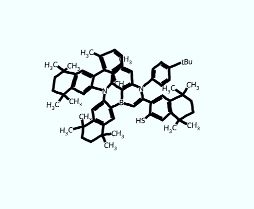 Cc1cc2c3c(c1)N(c1cc4c(cc1-c1c(C)cccc1C)C(C)(C)CCC4(C)C)c1cc4c(cc1B3C=C(c1cc3c(cc1S)C(C)(C)CCC3(C)C)N2c1ccc(C(C)(C)C)cc1)C(C)(C)CCC4(C)C